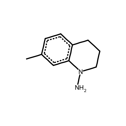 Cc1ccc2c(c1)N(N)CCC2